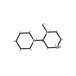 CN1CCNCC1N1CCCCC1